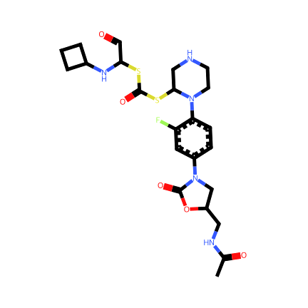 CC(=O)NCC1CN(c2ccc(N3CCNCC3SC(=O)SC(C=O)NC3CCC3)c(F)c2)C(=O)O1